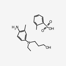 CCN(CCCO)c1ccc(N)c(C)c1.Cc1ccccc1S(=O)(=O)O